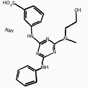 CN(CCO)c1nc(Nc2ccccc2)nc(Nc2cccc(S(=O)(=O)O)c2)n1.[NaH]